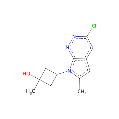 Cc1cc2cc(Cl)nnc2n1C1CC(C)(O)C1